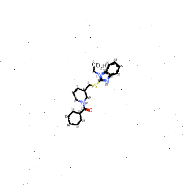 O=C(O)Cn1c(SCC2CCCN(C(=O)C3CCCCC3)C2)nc2ccccc21